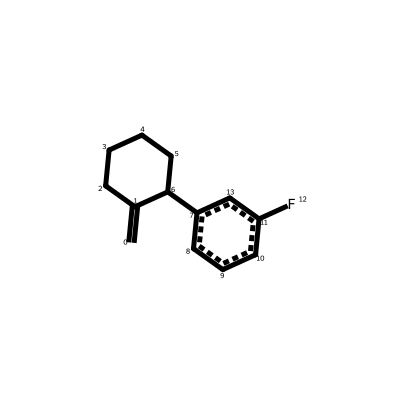 C=C1CCCCC1c1cccc(F)c1